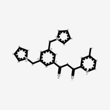 Cc1ccnc(C(=O)CC(=O)c2cc(Cn3cccc3)cc(Cn3cccc3)c2)c1